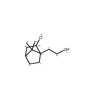 CC1(C)C2CCC1(CCO)C(Cl)C2